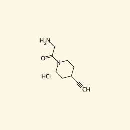 C#CC1CCN(C(=O)CN)CC1.Cl